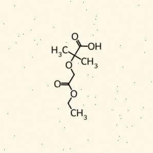 CCOC(=O)COC(C)(C)C(=O)O